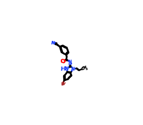 CCCn1/c(=N/C(=O)c2cccc(C#N)c2)[nH]c2cc(Br)ccc21